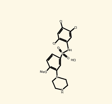 COc1ccc(S(=O)(=O)Nc2cc(Cl)c(Cl)cc2Cl)cc1N1CCNCC1.Cl